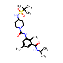 Cc1cc(NC(=O)N2CCC(NS(=O)(=O)C(C)(C)C)CC2)c(C)c(C(=O)NC(C)C)c1